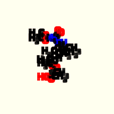 CC(C)OC(=O)NCC(CN[C@]12CC[C@@H](C(C)C)[C@@H]1[C@H]1CC[C@@H]3[C@@]4(C)CC[C@H](OC(=O)[C@H]5C[C@@H](C(=O)O)C5(C)C)C(C)(C)[C@@H]4CC[C@@]3(C)[C@]1(C)CC2)N1CCS(=O)(=O)CC1